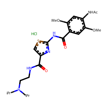 COc1cc(C(=O)Nc2nc(C(=O)NCCN(C(C)C)C(C)C)cs2)c(OC)cc1NC(C)=O.Cl